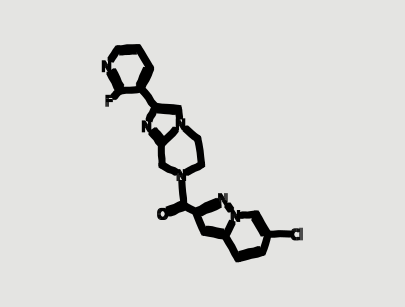 O=C(c1cc2ccc(Cl)cn2n1)N1CCn2cc(-c3cccnc3F)nc2C1